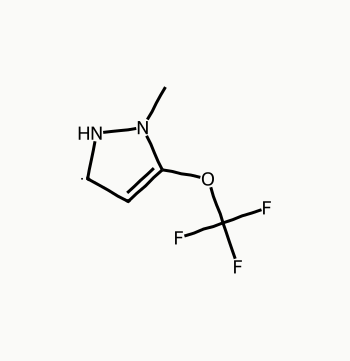 CN1N[CH]C=C1OC(F)(F)F